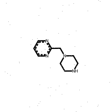 c1cnc(CN2CCNCC2)nc1